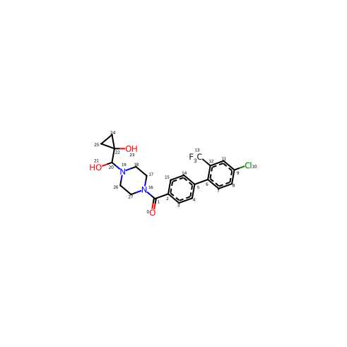 O=C(c1ccc(-c2ccc(Cl)cc2C(F)(F)F)cc1)N1CCN(C(O)C2(O)CC2)CC1